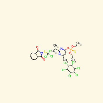 CCOP(=S)(OCC)Oc1cc(C)nc(C(C)C)n1.ClC1C(Cl)C(Cl)C(Cl)C(Cl)C1Cl.O=C1C2CC=CCC2C(=O)N1SC(Cl)(Cl)Cl